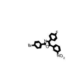 O=[N+]([O-])c1[c]c(-c2oc(-c3ccc(Br)cc3)nc2-c2ccc(F)cc2)ccc1